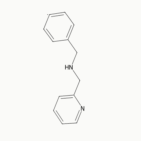 [c]1ccc(CNCc2ccccn2)cc1